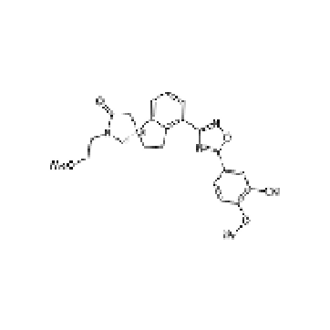 COCCN1C[C@]2(CCc3c(-c4noc(-c5ccc(OC(C)C)c(C#N)c5)n4)cccc32)CC1=O